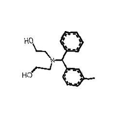 Cc1cccc(C(c2ccccc2)N(CCO)CCO)c1